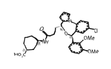 COc1cccc([C@H]2O[C@H](CCC(=O)N[C@@H]3CCC[C@H](C(=O)O)C3)c3cccn3-c3ccc(Cl)cc32)c1OC